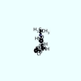 CN(C)C/C=C/C(=O)Nc1ccc(NC(=O)c2n[nH]cc2NC(=O)c2c(Cl)cccc2Cl)cc1